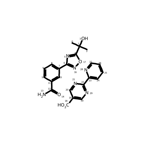 CC(C)(O)c1nc(-c2cccc(C(N)=O)c2)no1.O=C(O)c1cnc(-c2ccccn2)nc1